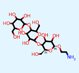 NCCO[C@@H]1O[C@@H](CO)C(OC2OC(CO)C(OC3OC(CO)C(O)C(O)C3O)C(O)C2O)C(O)C1O